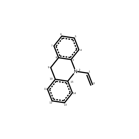 C=CN1c2ccccc2Cc2ccccc21